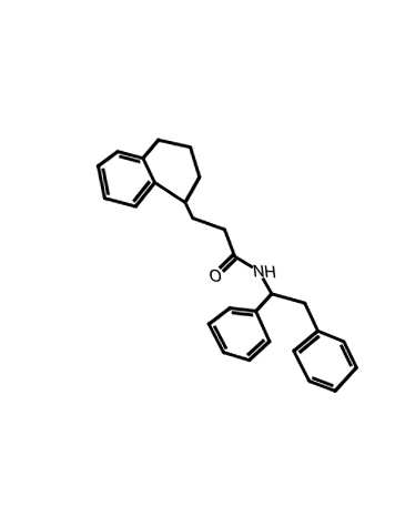 O=C(CCC1CCCc2ccccc21)NC(Cc1ccccc1)c1ccccc1